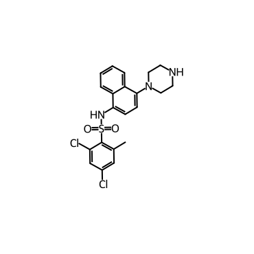 Cc1cc(Cl)cc(Cl)c1S(=O)(=O)Nc1ccc(N2CCNCC2)c2ccccc12